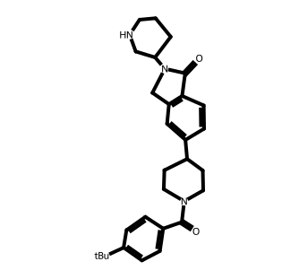 CC(C)(C)c1ccc(C(=O)N2CCC(c3ccc4c(c3)CN(C3CCCNC3)C4=O)CC2)cc1